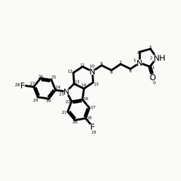 O=C1NCCN1CCCCN1CCC2C(C1)c1cc(F)ccc1N2c1ccc(F)cc1